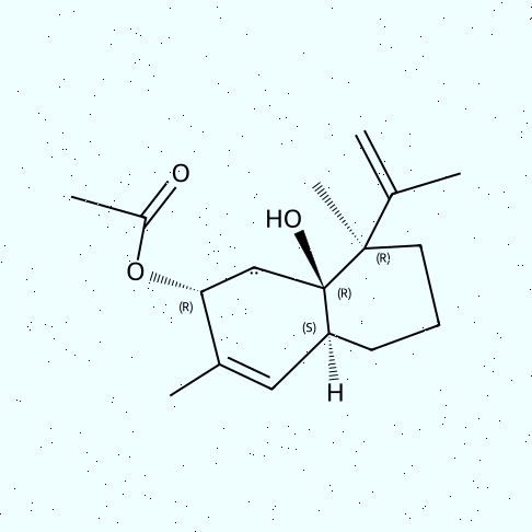 C=C(C)[C@@]1(C)CCC[C@H]2C=C(C)[C@H](OC(C)=O)[C][C@@]21O